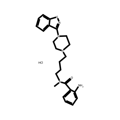 CN(CCCCN1CCN(c2nsc3ccccc23)CC1)C(=O)c1ccccc1N.Cl